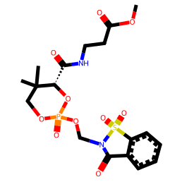 COC(=O)CCNC(=O)[C@@H]1OP(=O)(OCN2C(=O)c3ccccc3S2(=O)=O)OCC1(C)C